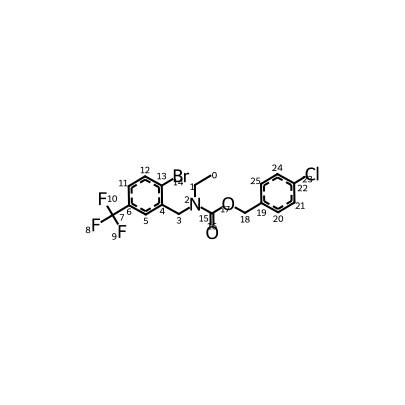 CCN(Cc1cc(C(F)(F)F)ccc1Br)C(=O)OCc1ccc(Cl)cc1